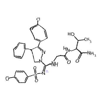 CC(O)C(NC(=O)CN/C(=N/S(=O)(=O)c1ccc(Cl)cc1)N1CC(c2ccccc2)C(c2ccc(Cl)cc2)=N1)C(N)=O